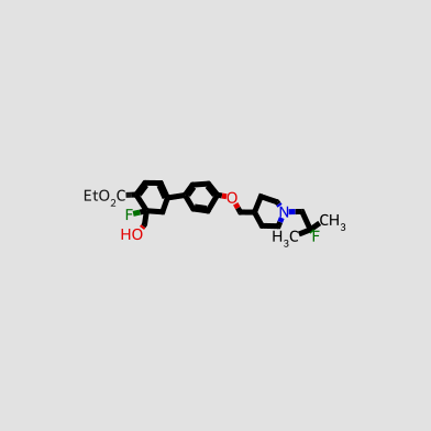 CCOC(=O)C1=CC=C(c2ccc(OCC3CCN(CC(C)(C)F)CC3)cc2)CC1(F)CO